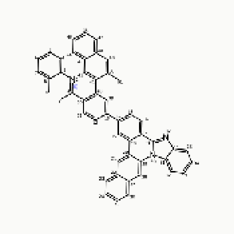 C/C(=N\c1ccccc1C)c1ccc(-c2ccc3c(c2)c2cc4ccccc4cc2n2c4ccccc4nc32)cc1-c1cc2ccccc2cc1C